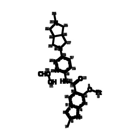 CCOc1cc2nc(C)cn2cc1C(=O)Nc1ccc(N2CC3CN(C)CC3C2)nn1.O=CO